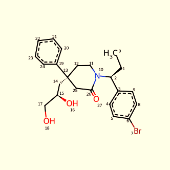 CC[C@@H](c1ccc(Br)cc1)N1CC[C@](C[C@@H](O)CO)(c2ccccc2)CC1=O